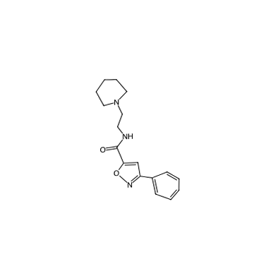 O=C(NCCN1CCCCC1)c1cc(-c2ccccc2)no1